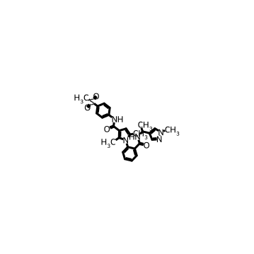 Cc1cc(C(=O)Nc2ccc(S(C)(=O)=O)cc2)c(C)n1-c1ccccc1C(=O)NC(C)c1cnn(C)c1